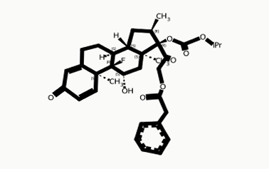 CC(C)OC(=O)O[C@]1(C(=O)COC(=O)Cc2ccccc2)[C@H](C)C[C@H]2[C@@H]3CCC4=CC(=O)C=C[C@]4(C)[C@@]3(F)[C@@H](O)C[C@@]21C